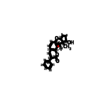 CC1(C(F)(F)F)C(O)CCC1Oc1ccc2cc(-c3ccccc3)c(=O)oc2c1